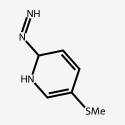 CSC1=CNC(N=N)C=C1